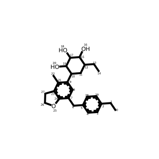 CCc1ccc(Cc2cc(C3CC(CC)C(O)C(O)C3O)c(C)c3c2OCC3)cc1